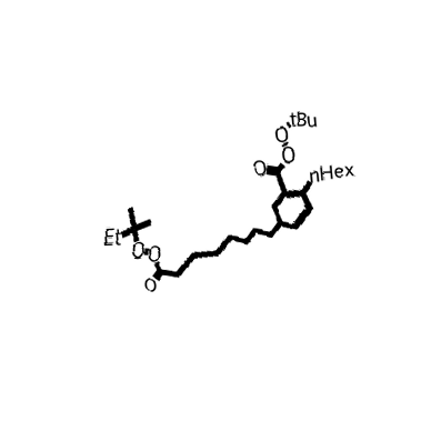 CCCCCCC1C=CC(CCCCCCCC(=O)OOC(C)(C)CC)CC1C(=O)OOC(C)(C)C